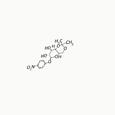 CC1(C)OC[C@H]2O[C@@H](Oc3ccc([N+](=O)[O-])cc3)[C@H](O)[C@@H](O)[C@H]2O1